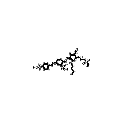 C=CS(=O)(=O)CCNc1nc(NCCCC)c(/N=N/c2ccc(/N=N/c3ccc(S(=O)(=O)O)cc3)cc2S(=O)(=O)O)c(C)c1C#N